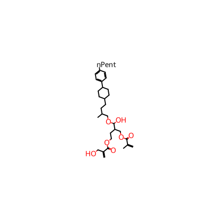 C=C(C)C(=O)OCC(CCOC(=O)C(=C)CO)C(O)OCC(C)CCC1CCC(c2ccc(CCCCC)cc2)CC1